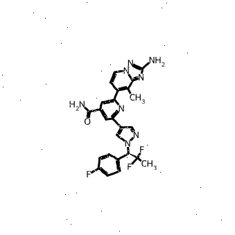 Cc1c(-c2cc(C(N)=O)cc(-c3cnn([C@H](c4ccc(F)cc4)C(C)(F)F)c3)n2)ccn2nc(N)nc12